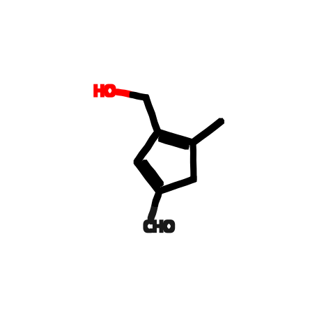 CC1=C(CO)C=C(C=O)C1